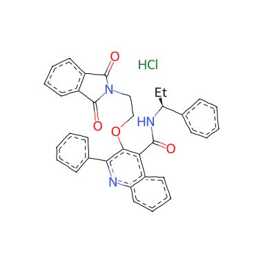 CC[C@H](NC(=O)c1c(OCCN2C(=O)c3ccccc3C2=O)c(-c2ccccc2)nc2ccccc12)c1ccccc1.Cl